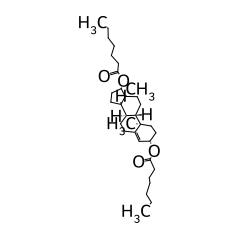 CCCCCCC(=O)O[C@@H]1C=C2CC[C@H]3[C@@H]4CC[C@H](OC(=O)CCCCCC)[C@@]4(C)CC[C@@H]3[C@@]2(C)CC1